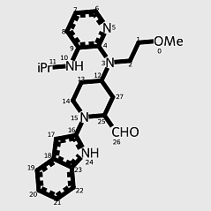 COCCN(c1ncccc1NC(C)C)C1CCN(c2cc3ccccc3[nH]2)C(C=O)C1